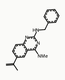 C=C(C)c1ccc2nc(NCc3ccccc3)nc(NC)c2c1